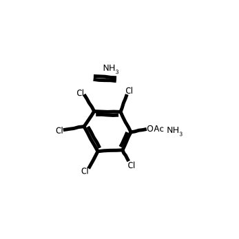 C=C.CC(=O)Oc1c(Cl)c(Cl)c(Cl)c(Cl)c1Cl.N.N